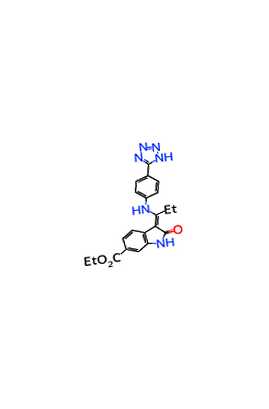 CCOC(=O)c1ccc2c(c1)NC(=O)C2=C(CC)Nc1ccc(-c2nnn[nH]2)cc1